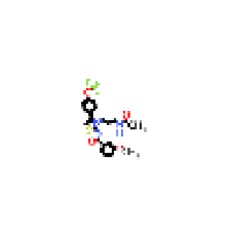 COc1cccc(C(=O)/N=c2\scc(-c3ccc(OC(F)(F)F)cc3)n2CCCNC(C)=O)c1